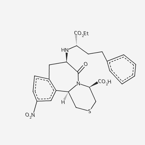 CCOC(=O)[C@H](CCc1ccccc1)N[C@@H]1Cc2ccc([N+](=O)[O-])cc2[C@@H]2CSC[C@H](C(=O)O)N2C1=O